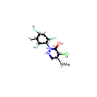 CNc1cnn(-c2c(F)cc(F)c(C)c2F)c(=O)c1Cl